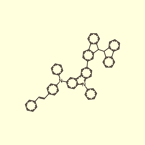 C(=C\c1ccc(N(c2ccccc2)c2ccc3c(c2)c2cc(-c4ccc5c(c4)C(C4c6ccccc6-c6ccccc64)c4ccccc4-5)ccc2n3-c2ccccc2)cc1)/c1ccccc1